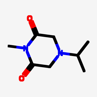 CC(C)N1CC(=O)N(C)C(=O)C1